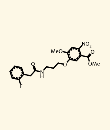 COC(=O)c1cc(OCCCNC(=O)Cc2ccccc2F)c(OC)cc1[N+](=O)[O-]